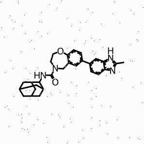 Cc1nc2ccc(-c3ccc4c(c3)CN(C(=O)NC3C5CC6CC(C5)CC3C6)CCO4)cc2[nH]1